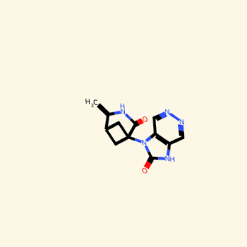 C=C1NC(=O)C2(n3c(=O)[nH]c4cnncc43)CC1C2